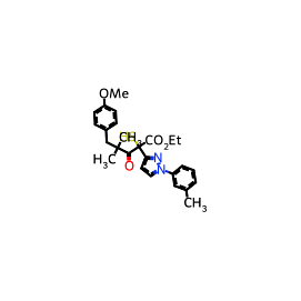 CCOC(=O)C(S)(C(=O)C(C)(C)Cc1ccc(OC)cc1)c1ccn(-c2cccc(C)c2)n1